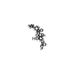 CCOC(=O)COc1cc(O)c(C(=O)CN2CC3=C(C=CC(=C=NSC)C3)C2=O)c(OC)c1